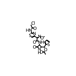 CON=C(C(=O)NC1C(=O)NC1C(OC(C)=O)c1cccs1)c1csc(NC(=O)CCl)n1